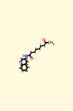 CC(=O)CCCCC[CH]C(=O)Nc1cnc2ccccc2c1